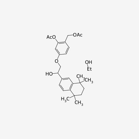 CC(=O)OCc1ccc(OCC(O)c2ccc3c(c2)C(C)(C)CCC3(C)C)cc1OC(C)=O.CCO